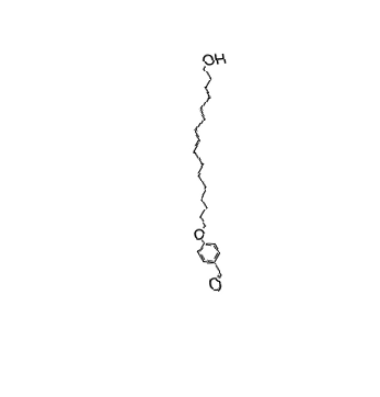 O=Cc1ccc(OCCCCCCCCCCCCCCCCO)cc1